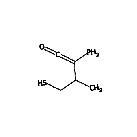 CC(CS)C(P)=C=O